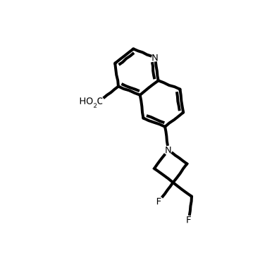 O=C(O)c1ccnc2ccc(N3CC(F)(CF)C3)cc12